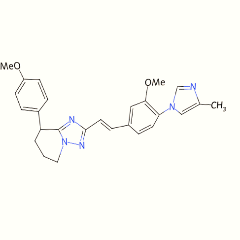 COc1ccc(C2CCCn3nc(/C=C/c4ccc(-n5cnc(C)c5)c(OC)c4)nc32)cc1